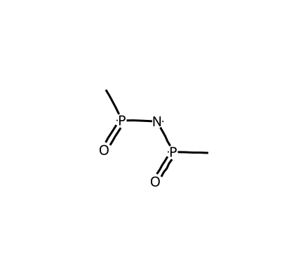 C[P](=O)[N][P](C)=O